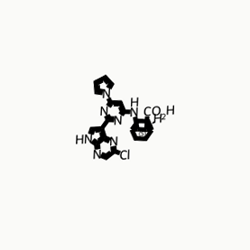 O=C(O)[C@H]1C2CCC(CC2)C1Nc1cc(-n2cccc2)nc(-c2c[nH]c3ncc(Cl)nc23)n1